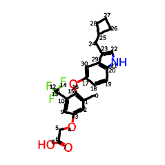 Cc1cc(OCC(=O)O)cc(C(F)(F)F)c1Oc1ccc2[nH]cc(CC3CCC3)c2c1